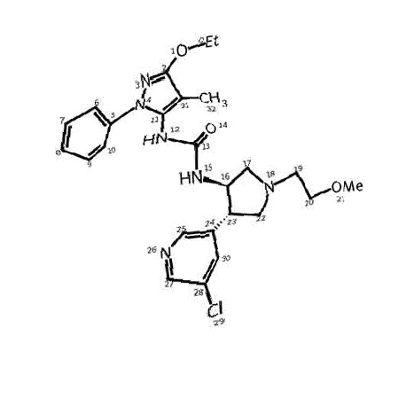 CCOc1nn(-c2ccccc2)c(NC(=O)N[C@H]2CN(CCOC)C[C@@H]2c2cncc(Cl)c2)c1C